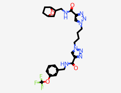 O=C(NCc1cccc(OC(F)(F)F)c1)c1cn(CCCCn2cc(C(=O)NCC3CC4CCC3O4)nn2)nn1